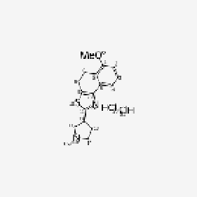 COc1cccc2c1CCc1sc(C3CCN(C)C3)nc1-2.Cl.Cl